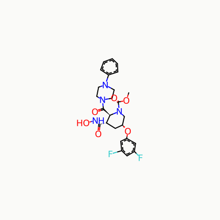 COC(=O)N1C[C@@H](Oc2cc(F)cc(F)c2)C[C@H](C(=O)NO)[C@H]1C(=O)N1CCN(c2ccccc2)CC1